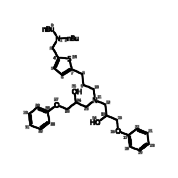 CCCCN(CCCC)Cc1ccc(CCCN(CC(O)COc2ccccc2)CC(O)COc2ccccc2)s1